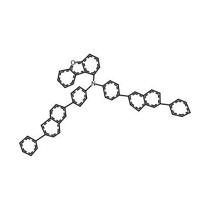 c1ccc(-c2ccc3cc(-c4ccc(N(c5ccc(-c6ccc7cc(-c8ccccc8)ccc7c6)cc5)c5cccc6oc7ccccc7c56)cc4)ccc3c2)cc1